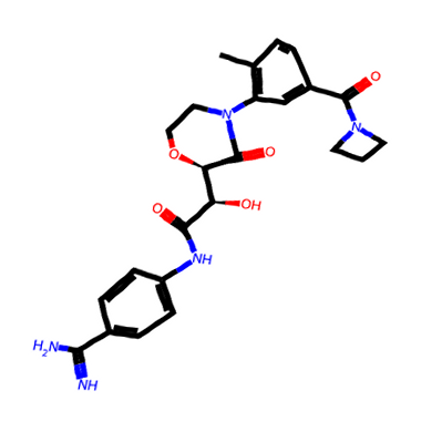 Cc1ccc(C(=O)N2CCC2)cc1N1CCO[C@H]([C@@H](O)C(=O)Nc2ccc(C(=N)N)cc2)C1=O